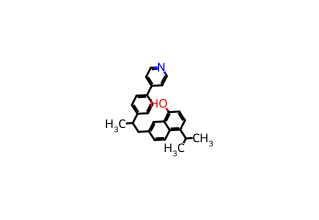 CC(C)c1ccc(O)c2cc(CC(C)c3ccc(-c4ccncc4)cc3)ccc12